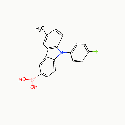 Cc1ccc2c(c1)c1cc(B(O)O)ccc1n2-c1ccc(F)cc1